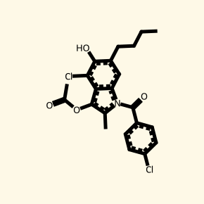 CCCCc1cc2c(c(Cl)c1O)c(OC(C)=O)c(C)n2C(=O)c1ccc(Cl)cc1